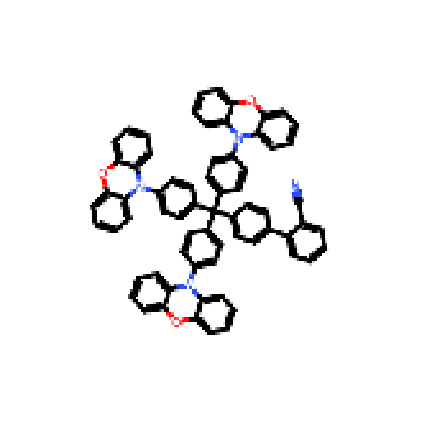 N#Cc1ccccc1-c1ccc(C(c2ccc(N3c4ccccc4Oc4ccccc43)cc2)(c2ccc(N3c4ccccc4Oc4ccccc43)cc2)c2ccc(N3c4ccccc4Oc4ccccc43)cc2)cc1